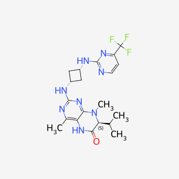 Cc1nc(N[C@H]2C[C@@H](Nc3nccc(C(F)(F)F)n3)C2)nc2c1NC(=O)[C@H](C(C)C)N2C